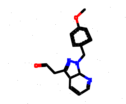 COc1ccc(CN2N=C(CC=O)C3C=CC=NC32)cc1